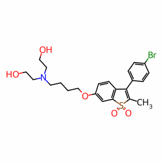 CC1=C(c2ccc(Br)cc2)c2ccc(OCCCCN(CCO)CCO)cc2S1(=O)=O